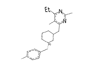 CCc1nc(C)nc(CC2CCC[C@@H](Cc3ccc(C)cc3)C2)c1C